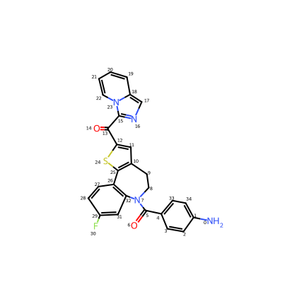 Nc1ccc(C(=O)N2CCc3cc(C(=O)c4ncc5ccccn45)sc3-c3ccc(F)cc32)cc1